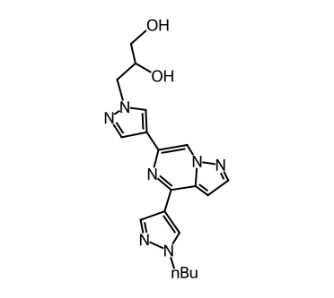 CCCCn1cc(-c2nc(-c3cnn(CC(O)CO)c3)cn3nccc23)cn1